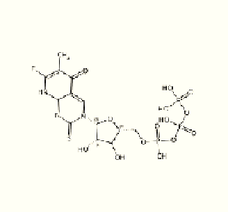 Cc1c(F)[nH]c2nc(=S)n([C@@H]3O[C@H](COP(=O)(O)OP(=O)(O)OP(=O)(O)O)C(O)[C@@H]3O)cc2c1=O